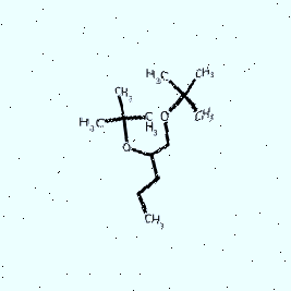 CCCC(COC(C)(C)C)OC(C)(C)C